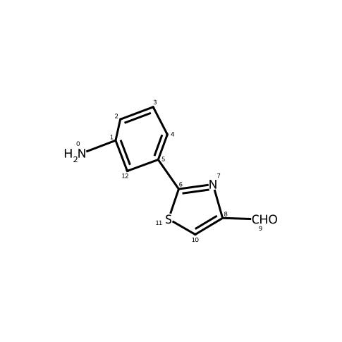 Nc1cccc(-c2nc(C=O)cs2)c1